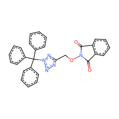 O=C1c2ccccc2C(=O)N1OCc1nnn(C(c2ccccc2)(c2ccccc2)c2ccccc2)n1